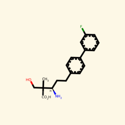 CC(CO)(C(=O)O)[C@H](N)CCc1ccc(-c2cccc(F)c2)cc1